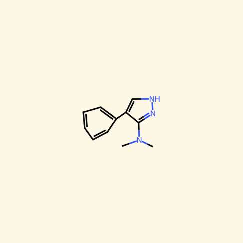 CN(C)c1n[nH]cc1-c1ccccc1